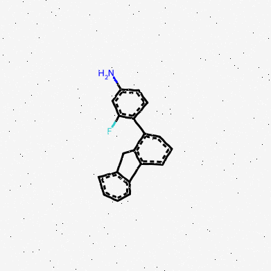 Nc1ccc(-c2cccc3c2Cc2ccccc2-3)c(F)c1